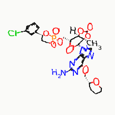 C[C@@]12OC(=O)O[C@@H]1[C@@H](CO[P@@]1(=O)OCC[C@@H](c3cccc(Cl)c3)O1)O[C@H]2n1cnc2c(OC[C@H]3CCCCO3)nc(N)nc21